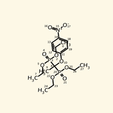 CCOP(=O)(OCC)C(C)(Oc1ccc([N+](=O)[O-])cc1)P(=O)(OCC)OCC